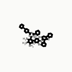 Bc1c(B)c(-c2nc(-c3ccccc3)nc(-c3ccc(-c4ccccc4)cc3)n2)c2c(oc3c(B)c(-n4c5ccccc5c5c6sc7ccccc7c6ccc54)c(B)c(B)c32)c1B